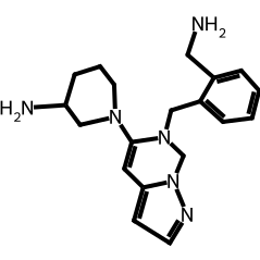 NCc1ccccc1CN1Cn2nccc2C=C1N1CCCC(N)C1